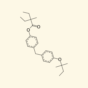 CCC(C)(C)Oc1ccc(Cc2ccc(OC(=O)C(C)(CC)CC)cc2)cc1